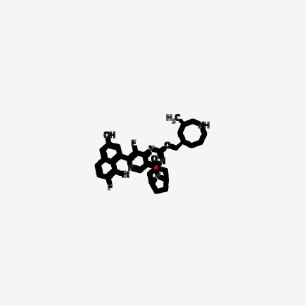 CCc1c(F)ccc2cc(O)cc(-c3ncc4c(N5C6CCC5CC(=O)C6)nc(OC[C@@H]5CCCNC[C@H](C)C5)nc4c3F)c12